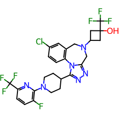 OC1(C(F)(F)F)CC(N2Cc3cc(Cl)ccc3-n3c(nnc3C3CCN(c4nc(C(F)(F)F)ccc4F)CC3)C2)C1